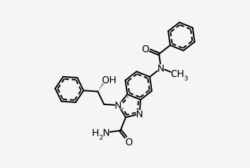 CN(C(=O)c1ccccc1)c1ccc2c(c1)nc(C(N)=O)n2C[C@@H](O)c1ccccc1